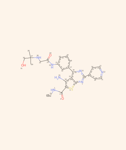 CC(C)(C)NC(=O)c1sc2nc(-c3ccncc3)nc(-c3cccc(NC(=O)CNC(C)(C)CO)c3)c2c1N